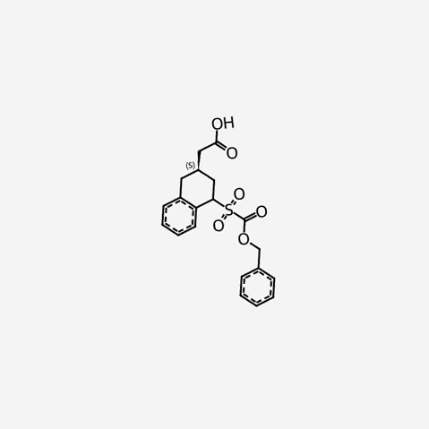 O=C(O)C[C@@H]1Cc2ccccc2C(S(=O)(=O)C(=O)OCc2ccccc2)C1